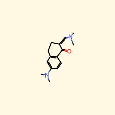 CN(C)C=C1CCc2cc(N(C)C)ccc2C1=O